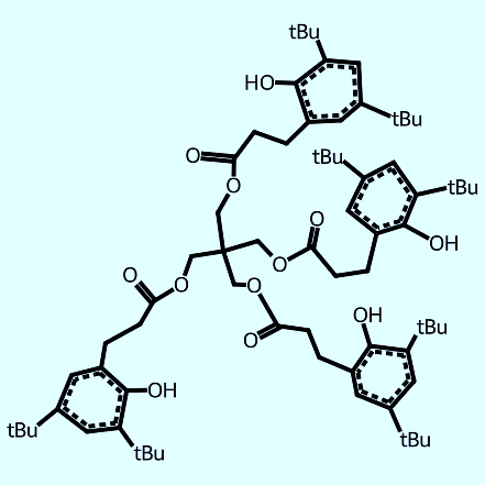 CC(C)(C)c1cc(CCC(=O)OCC(COC(=O)CCc2cc(C(C)(C)C)cc(C(C)(C)C)c2O)(COC(=O)CCc2cc(C(C)(C)C)cc(C(C)(C)C)c2O)COC(=O)CCc2cc(C(C)(C)C)cc(C(C)(C)C)c2O)c(O)c(C(C)(C)C)c1